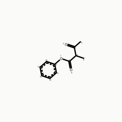 CC(=O)C(C)C(=O)Oc1ccccc1